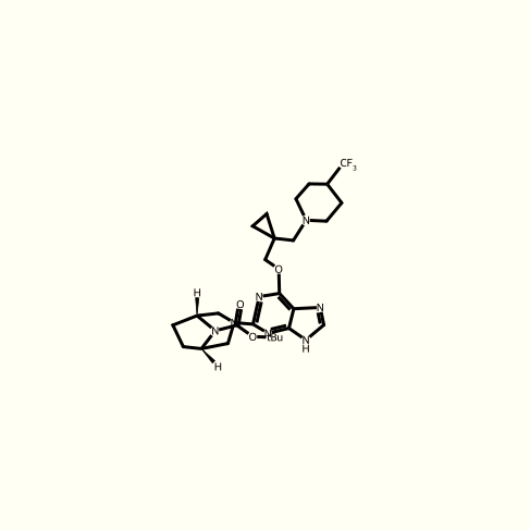 CC(C)(C)OC(=O)N1[C@@H]2CC[C@H]1CN(c1nc(OCC3(CN4CCC(C(F)(F)F)CC4)CC3)c3nc[nH]c3n1)C2